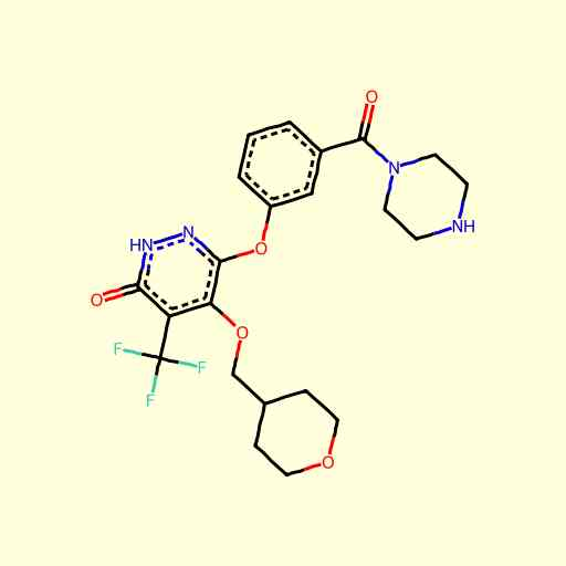 O=C(c1cccc(Oc2n[nH]c(=O)c(C(F)(F)F)c2OCC2CCOCC2)c1)N1CCNCC1